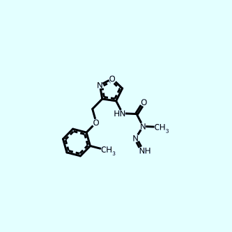 Cc1ccccc1OCc1nocc1NC(=O)N(C)N=N